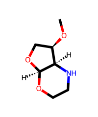 CO[C@@H]1CO[C@@H]2OCCN[C@@H]21